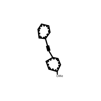 COc1ccc(C#Cc2cc[c]cc2)cc1